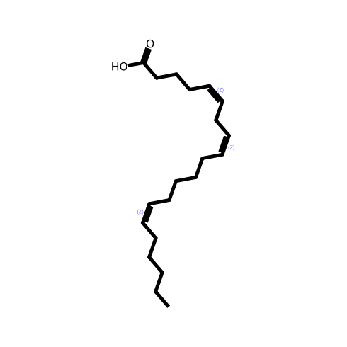 CCCCC/C=C\CCCC/C=C\C/C=C\CCCC(=O)O